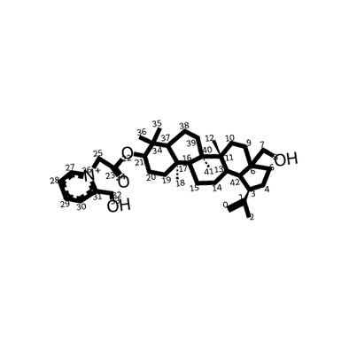 C=C(C)[C@@H]1CCC2(CO)CC[C@]3(C)C(CCC4[C@@]5(C)CCC(OC(=O)C[n+]6ccccc6CO)C(C)(C)C5CC[C@]43C)C12